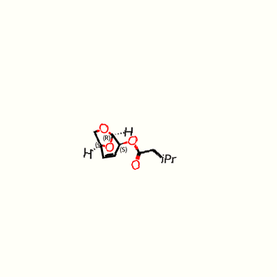 CC(C)CC(=O)O[C@H]1C=C[C@H]2CO[C@@H]1O2